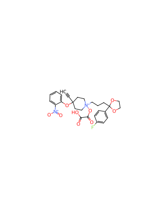 C#CC1(Oc2ccccc2[N+](=O)[O-])CC[N+](CCCC2(c3ccc(F)cc3)OCCO2)(OC(=O)C(=O)O)CC1